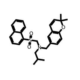 CC(C)CN(Cc1ccc2c(c1)C=CC(C)(C)O2)CS(=O)(=O)c1cccc2ccccc12